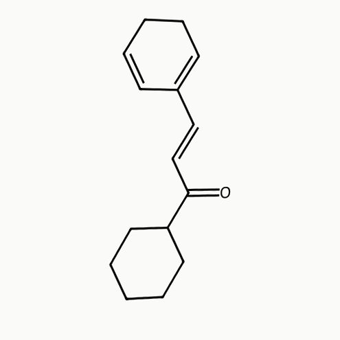 O=C(C=CC1=CCCC=C1)C1CCCCC1